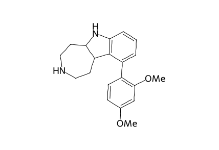 COc1ccc(-c2cccc3c2C2CCNCCC2N3)c(OC)c1